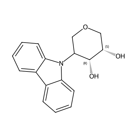 O[C@@H]1C(n2c3ccccc3c3ccccc32)COC[C@@H]1O